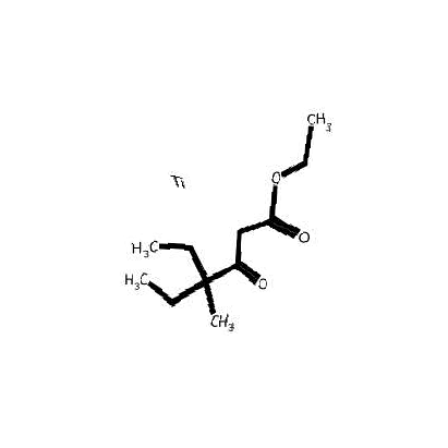 CCOC(=O)CC(=O)C(C)(CC)CC.[Ti]